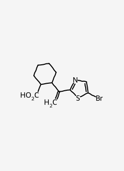 C=C(c1ncc(Br)s1)C1CCCCC1C(=O)O